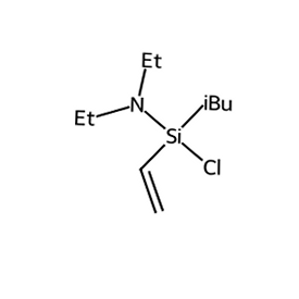 C=C[Si](Cl)(C(C)CC)N(CC)CC